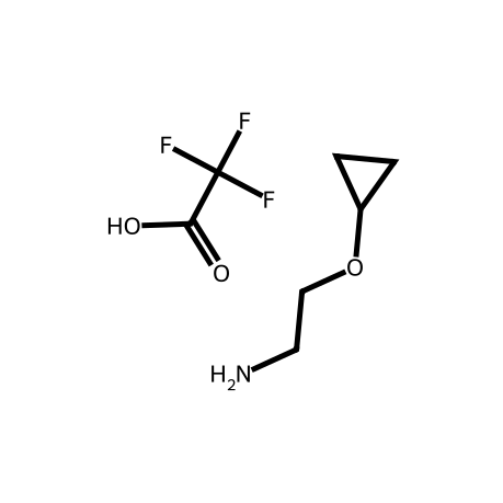 NCCOC1CC1.O=C(O)C(F)(F)F